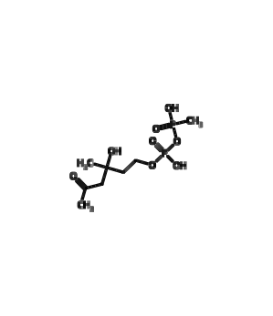 CC(=O)CC(C)(O)CCOP(=O)(O)OP(C)(=O)O